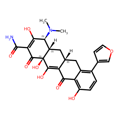 CN(C)[C@@H]1C(O)=C(C(N)=O)C(=O)[C@@]2(O)C(O)=C3C(=O)c4c(O)ccc(-c5ccoc5)c4C[C@H]3C[C@@H]12